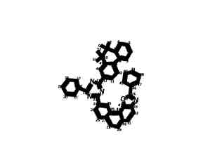 CC1(C)c2ccccc2-c2ccc(-c3nc(-c4ccccc4)nc(-c4ccc5ccc6ccc7nc(-c8ccccc8)oc7c6c5c4)n3)cc2C1(C)C